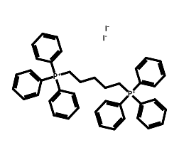 [I-].[I-].c1ccc([P+](CCCCC[P+](c2ccccc2)(c2ccccc2)c2ccccc2)(c2ccccc2)c2ccccc2)cc1